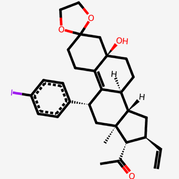 C=C[C@@H]1C[C@H]2[C@@H]3CC[C@@]4(O)CC5(CCC4=C3[C@@H](c3ccc(I)cc3)C[C@]2(C)[C@H]1C(C)=O)OCCO5